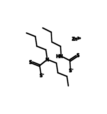 CCCCN(CCCC)C(=S)[S-].CCCCNC(=S)[S-].[Zn+2]